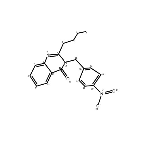 CCCCc1nc2ccccc2c(=O)n1Cc1ccc([N+](=O)[O-])cc1